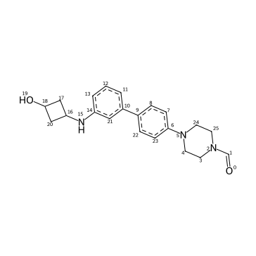 O=CN1CCN(c2ccc(-c3cccc(NC4CC(O)C4)c3)cc2)CC1